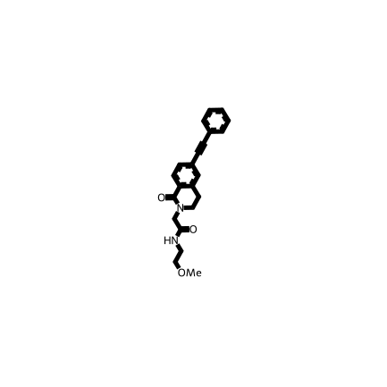 COCCNC(=O)CN1CCc2cc(C#Cc3ccccc3)ccc2C1=O